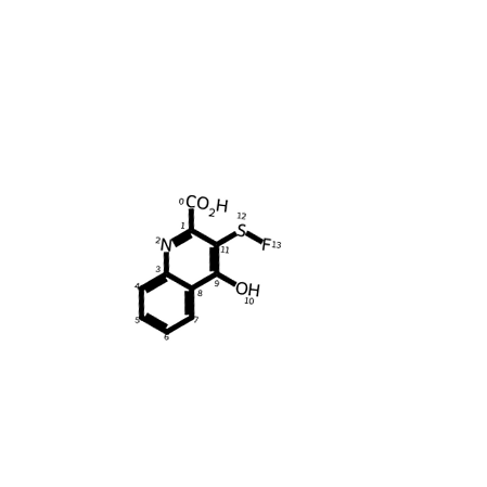 O=C(O)c1nc2ccccc2c(O)c1SF